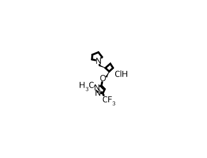 Cl.Cn1nc(C(F)(F)F)cc1OC[C@@H]1CC[C@@H]1CN1CCCC1